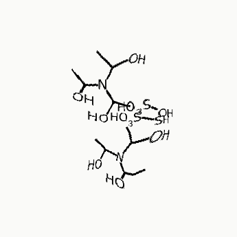 CC(O)N(C(C)O)C(C)O.CC(O)N(C(C)O)C(C)O.O=S(=O)(O)O.O=S(=O)(O)S